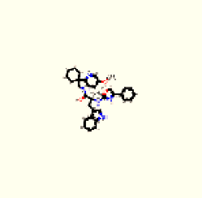 COc1ccc(C2(CNC(=O)[C@](C)(Cc3c[nH]c4ccccc34)Nc3nc(-c4ccccc4)co3)CCCCC2)nc1